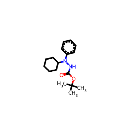 CC(C)(C)OC(=O)NN(c1ccccc1)C1CCCCC1